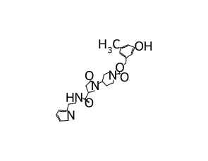 Cc1cc(O)cc(COC(=O)N2CCC(N3CC(C(=O)NCCc4ccccn4)CC3=O)CC2)c1